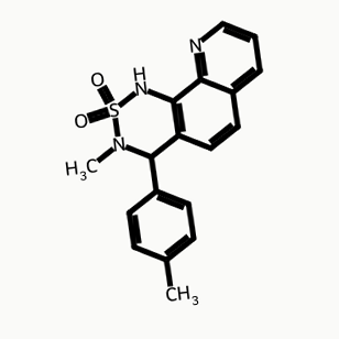 Cc1ccc(C2c3ccc4cccnc4c3NS(=O)(=O)N2C)cc1